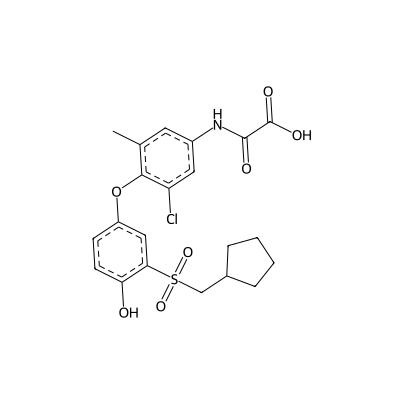 Cc1cc(NC(=O)C(=O)O)cc(Cl)c1Oc1ccc(O)c(S(=O)(=O)CC2CCCC2)c1